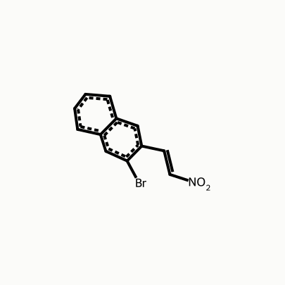 O=[N+]([O-])C=Cc1cc2ccccc2cc1Br